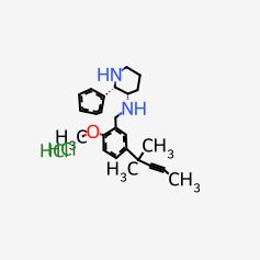 CC#CC(C)(C)c1ccc(OC)c(CN[C@H]2CCCN[C@H]2c2ccccc2)c1.Cl.Cl